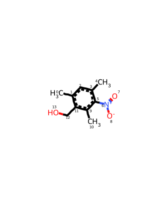 Cc1cc(C)c([N+](=O)[O-])c(C)c1CO